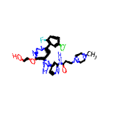 CN1CCN(CCC(=O)Nc2cc(Nc3cc(-c4cc(Cl)ccc4F)nnc3OCCO)ccn2)CC1